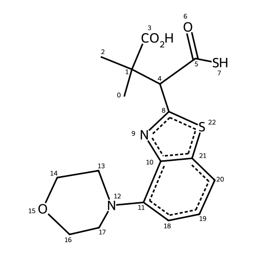 CC(C)(C(=O)O)C(C(=O)S)c1nc2c(N3CCOCC3)cccc2s1